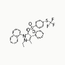 CCN1C(C)=C(c2ccccc2)C(OS(=O)(=O)c2ccc(SC(F)(F)F)cc2)N1c1cccc2ccccc12